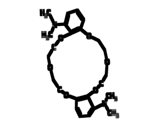 CN(C)c1cccc2c1OCCOCCOc1cccc(N(C)C)c1OCCOCCO2